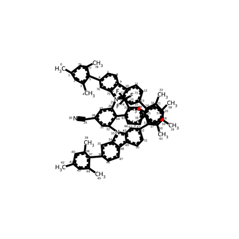 Cc1cc(C)c(-c2ccc3c4ccc(-c5c(C)cc(C)cc5C)cc4n(-c4cc(C#N)cc(-n5c6cc(-c7c(C)cc(C)cc7C)ccc6c6ccc(-c7c(C)cc(C)cc7C)cc65)c4-c4ccccc4C(F)(F)F)c3c2)c(C)c1